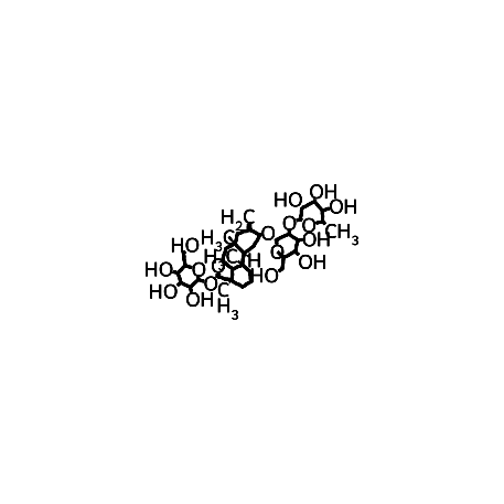 C=C1C[C@@]2(C)CCC3[C@](C)(C(=O)OC4OC(CO)C(O)C(O)C4O)CCC[C@@]3(C)[C@@H]2CC1OC1OC(CO)C(O)C(O)C1OC1OC(C)C(O)C(O)C1O